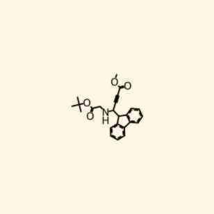 COC(=O)C#CC(NCC(=O)OC(C)(C)C)C1c2ccccc2-c2ccccc21